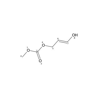 COC(=O)OCC=CO